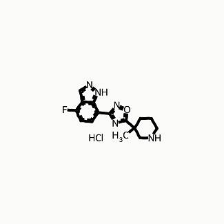 CC1(c2nc(-c3ccc(F)c4cn[nH]c34)no2)CCCNC1.Cl